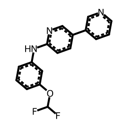 FC(F)Oc1cccc(Nc2ccc(-c3cccnc3)cn2)c1